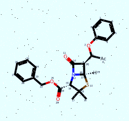 CC(=O)C(Oc1ccccc1)[C@@H]1C(=O)N2[C@@H]1SC(C)(C)[C@@H]2C(=O)OCc1ccccc1